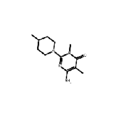 Cc1c(N)nc(N2CCC(C)CC2)n(C)c1=O